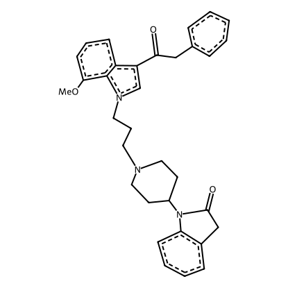 COc1cccc2c(C(=O)Cc3ccccc3)cn(CCCN3CCC(N4C(=O)Cc5ccccc54)CC3)c12